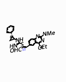 CCOc1nc(NC)nc2ccc(/C=C(/C=O)SC(=N)NC3C[C@@H]3c3ccccc3)cc12